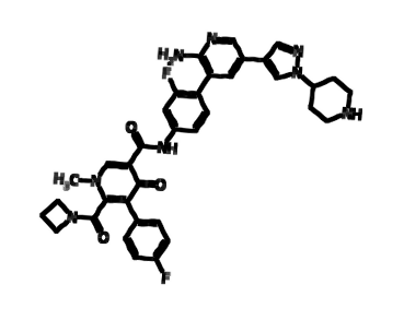 Cn1cc(C(=O)Nc2ccc(-c3cc(-c4cnn(C5CCNCC5)c4)cnc3N)c(F)c2)c(=O)c(-c2ccc(F)cc2)c1C(=O)N1CCC1